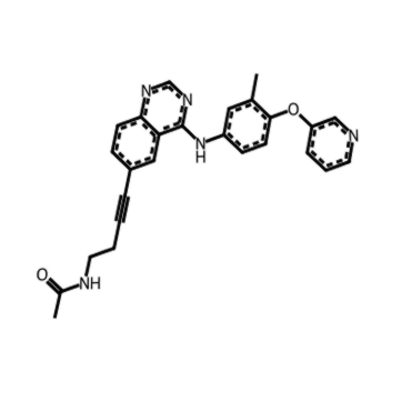 CC(=O)NCCC#Cc1ccc2ncnc(Nc3ccc(Oc4cccnc4)c(C)c3)c2c1